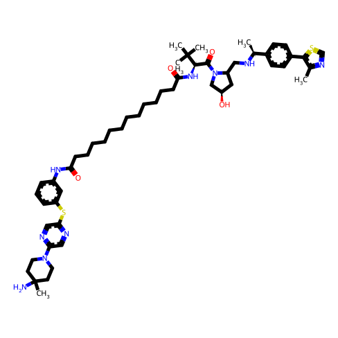 Cc1ncsc1-c1ccc([C@H](C)NCC2C[C@@H](O)CN2C(=O)[C@@H](NC(=O)CCCCCCCCCCCCC(=O)Nc2cccc(Sc3cnc(N4CCC(C)(N)CC4)cn3)c2)C(C)(C)C)cc1